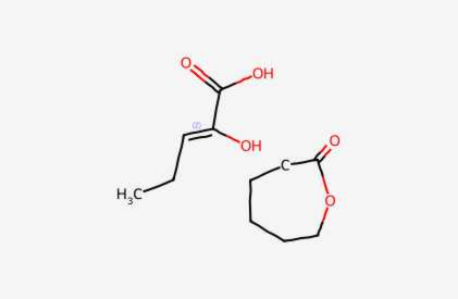 CC/C=C(\O)C(=O)O.O=C1CCCCCO1